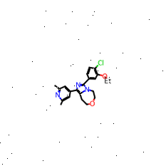 CCOc1cc(-c2nc(-c3cc(C)nc(C)c3)c3n2CCOCC3)ccc1Cl